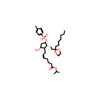 CCCCCCCC1(CC[C@@H]2C(C/C=C\CCCC(=O)OC(C)C)[C@@H](O)C[C@H]2OS(=O)(=O)c2ccc(C)cc2)OCCO1